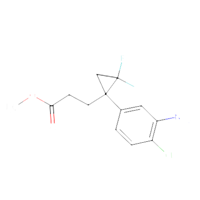 COC(=O)CCC1(c2ccc(Cl)c(N)c2)CC1(F)F